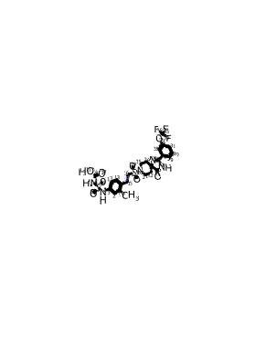 Cc1cc(NS(=O)(=O)NC(=O)O)ccc1/C=C/S(=O)(=O)N1CCC2(CC1)N=C(c1cccc(OC(F)(F)F)c1)NC2=O